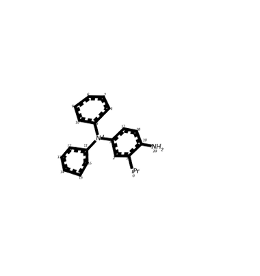 CC(C)c1cc(N(c2ccccc2)c2ccccc2)ccc1N